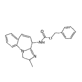 CC1CN2C(=N1)C(NC(=O)OCc1ccccc1)C=Cc1ccccc12